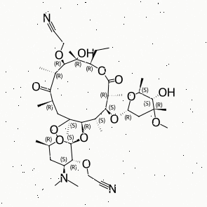 CC[C@H]1OC(=O)[C@H](C)[C@@H](O[C@H]2C[C@@](C)(OC)[C@@H](O)[C@H](C)O2)[C@H](C)[C@@H](O[C@@H]2O[C@H](C)C[C@H](N(C)C)[C@H]2OCC#N)[C@@](C)(OC)C[C@@H](C)C(=O)[C@H](C)[C@@H](OCC#N)[C@]1(C)O